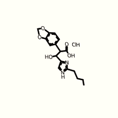 CCCCc1nc(C(O)C(C(=O)O)c2ccc3c(c2)OCO3)c[nH]1.Cl